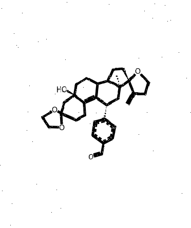 C=C1CCO[C@]12CCC1C3CC[C@@]4(O)CC5(CCC4=C3[C@@H](c3ccc(C=O)cc3)C[C@@]12C)OCCO5